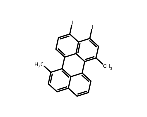 Cc1ccc2cccc3c4c(C)cc(I)c5c(I)ccc(c1c23)c54